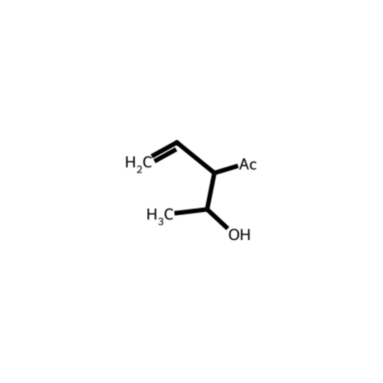 C=CC(C(C)=O)C(C)O